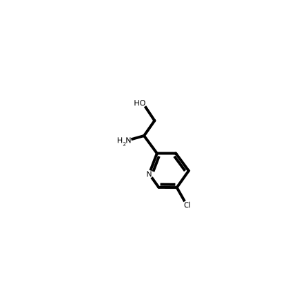 NC(CO)c1ccc(Cl)cn1